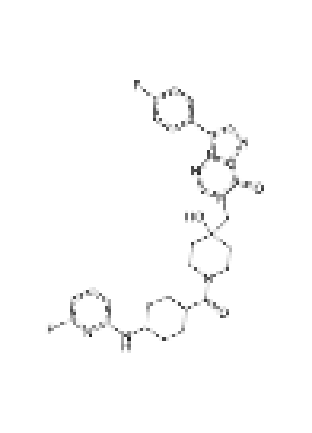 O=C(C1CCC(Nc2cccc(F)n2)CC1)N1CCC(O)(Cn2cnn3c(-c4ccc(F)cc4)cnc3c2=O)CC1